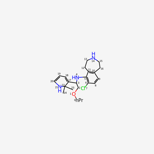 CCCOCC(Nc1c(Cl)ccc2c1CCNCC2)C1=CC=CNC1(C)C